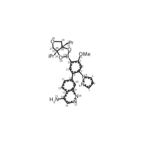 COc1cc(-n2cccn2)c(-c2ccc3c(N)cnnc3c2)cc1B1O[C@]2(C(C)C)COC[C@]2(C(C)C)O1